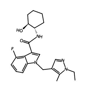 CCn1ncc(Cn2cc(C(=O)N[C@H]3CCCC[C@@H]3O)c3c(F)cccc32)c1C